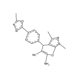 Cc1nnc(-c2ccc(C3C(C#N)=C(N)Oc4c3c(C)nn4C)cc2)o1